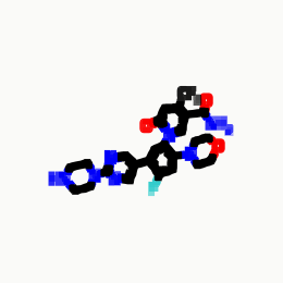 NC(=O)c1cn(-c2cc(-c3cnc(N4CCNCC4)nc3)c(F)cc2N2CCOCC2)c(=O)cc1C(F)(F)F